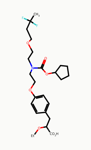 CCOC(Cc1ccc(OCCN(CCOCCC(C)(F)F)C(=O)OC2CCCC2)cc1)C(=O)O